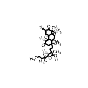 CCCC(C)(C)CC[C@@](C)(CC[C@]1(C)CC(=O)C=C2[C@@]3(C)C=C(C#N)C(=O)C(C)(C)[C@@H]3CC[C@]21C)C(=O)O